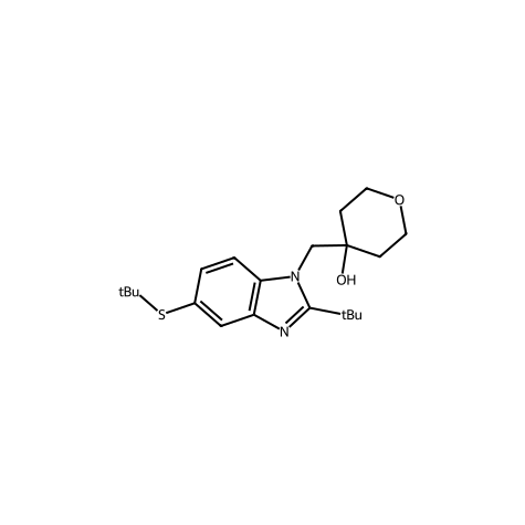 CC(C)(C)Sc1ccc2c(c1)nc(C(C)(C)C)n2CC1(O)CCOCC1